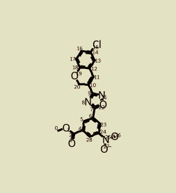 COC(=O)c1cc(-c2nc(C3=Cc4cc(Cl)ccc4OC3)no2)cc([N+](=O)[O-])c1